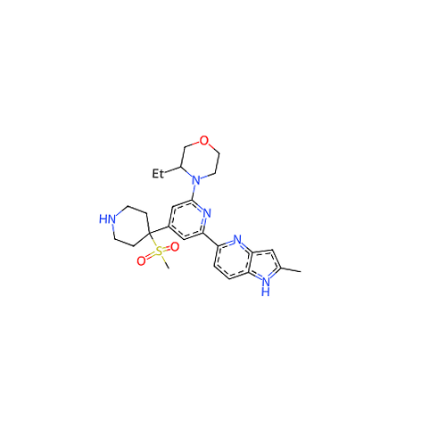 CCC1COCCN1c1cc(C2(S(C)(=O)=O)CCNCC2)cc(-c2ccc3[nH]c(C)cc3n2)n1